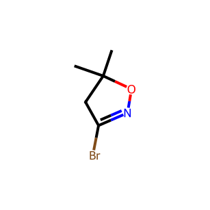 CC1(C)CC(Br)=NO1